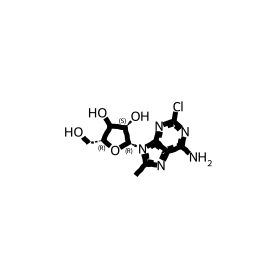 Cc1nc2c(N)nc(Cl)nc2n1[C@@H]1O[C@H](CO)C(O)[C@@H]1O